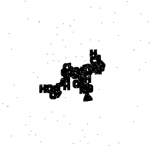 Cc1cccnc1N1CCN(c2cc(Cl)c(C(=O)NCCCN3CCOC3O)cc2NC(=O)c2coc(C3CC3)n2)CC1